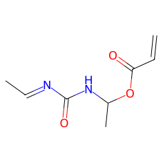 C=CC(=O)OC(C)NC(=O)N=CC